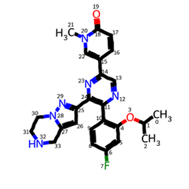 CC(C)Oc1cc(F)ccc1-c1ncc(-c2ccc(=O)n(C)c2)nc1-c1cc2n(n1)CCNC2